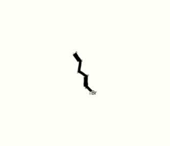 [CH]=CCC=CBr